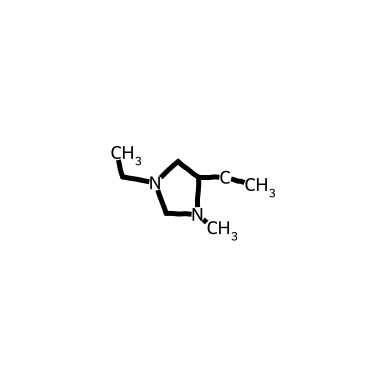 CCC1CN(CC)CN1C